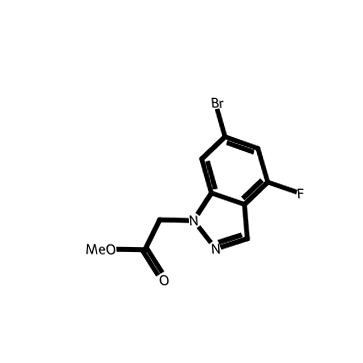 COC(=O)Cn1ncc2c(F)cc(Br)cc21